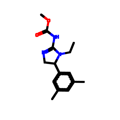 CCN1C(NC(=O)OC)=NCC1c1cc(C)cc(C)c1